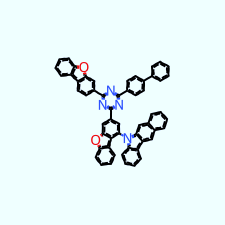 c1ccc(-c2ccc(-c3nc(-c4ccc5c(c4)oc4ccccc45)nc(-c4cc(-n5c6ccccc6c6cc7ccccc7cc65)c5c(c4)oc4ccccc45)n3)cc2)cc1